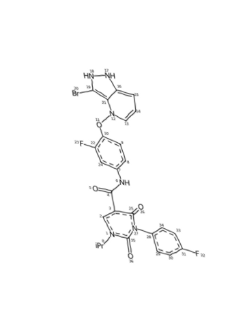 CC(C)n1cc(C(=O)Nc2ccc(ON3C=CC=C4NNC(Br)=C43)c(F)c2)c(=O)n(-c2ccc(F)cc2)c1=O